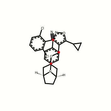 N#Cc1ccc(N2[C@@H]3CC[C@H]2C[C@@H](OCc2c(-c4c(Cl)cccc4Cl)noc2C2CC2)C3)cc1